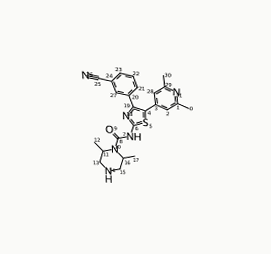 Cc1cc(-c2sc(NC(=O)N3C(C)CNCC3C)nc2-c2cccc(C#N)c2)cc(C)n1